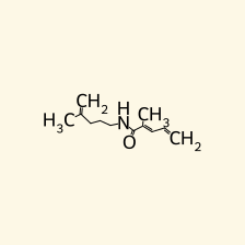 C=C/C=C(\C)C(=O)NCCCC(=C)C